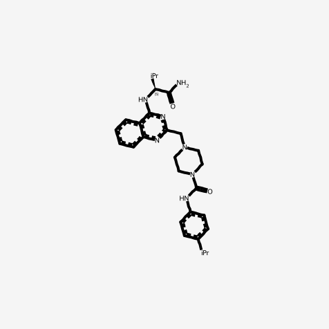 CC(C)c1ccc(NC(=O)N2CCN(Cc3nc(N[C@H](C(N)=O)C(C)C)c4ccccc4n3)CC2)cc1